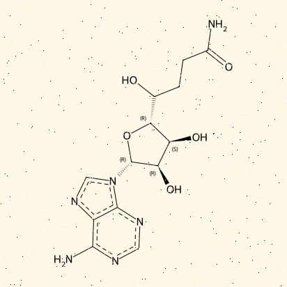 NC(=O)CCC(O)[C@H]1O[C@@H](n2cnc3c(N)ncnc32)[C@H](O)[C@@H]1O